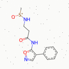 C[S+]([O-])NCCC(=O)Nc1oncc1-c1ccccc1